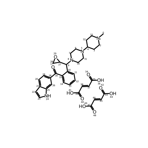 CN1CCC(N2CCN(C(c3ccccc3C(=O)c3ccc4cc[nH]c4c3)C3CO3)CC2)CC1.O=C(O)/C=C/C(=O)O.O=C(O)/C=C/C(=O)O